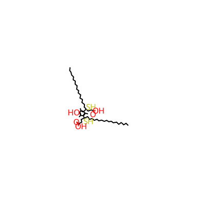 CCCCCCCCCCCCCCCCCCC(S)(CCC(=O)O)c1c(C)c(O)c(C)c(C(S)(CCCCCCCCCCCCCCCCCC)CCC(=O)O)c1C